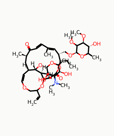 C=CC1CO/C=C\[C@H]2C[C@@H](C)C(=O)/C=C/C(C)=C/[C@H](CO[C@@H]3OC(C)[C@@H](O)[C@H](OC)C3OC)[C@@H](CC)OC(=O)C[C@@H](O1)[C@H](C)[C@H]2O[C@@H]1OC(C)[C@@H](O)C(N(C)C)C1O